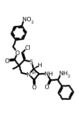 CC1(C(=O)OCc2ccc([N+](=O)[O-])cc2)CN2C(=O)C(NC(=O)C(N)C3=CCC=CC3)[C@H]2SC1=CCl